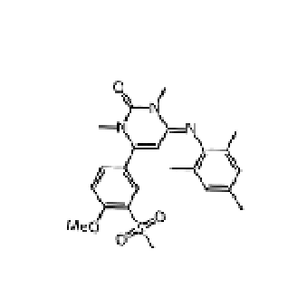 COc1ccc(-c2cc(=Nc3c(C)cc(C)cc3C)n(C)c(=O)n2C)cc1S(C)(=O)=O